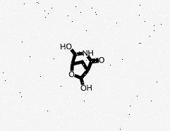 O=C1NC(O)C2CC1C(O)O2